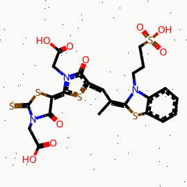 C/C(C=c1s/c(=C2/SC(=S)N(CC(=O)O)C2=O)n(CC(=O)O)c1=O)=C1\Sc2ccccc2N1CCCS(=O)(=O)O